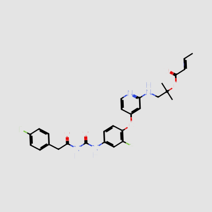 C/C=C/C(=O)OC(C)(C)CNc1cc(Oc2ccc(NC(=O)NC(=O)Cc3ccc(F)cc3)cc2F)ccn1